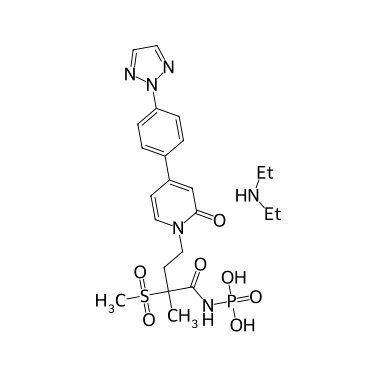 CC(CCn1ccc(-c2ccc(-n3nccn3)cc2)cc1=O)(C(=O)NP(=O)(O)O)S(C)(=O)=O.CCNCC